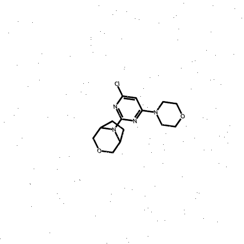 Clc1cc(N2CCOCC2)nc(N2C3CCC2COC3)n1